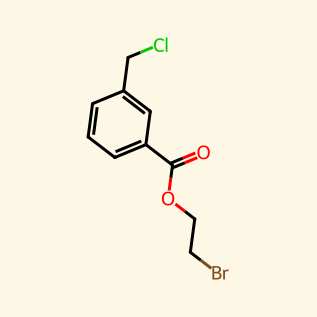 O=C(OCCBr)c1cccc(CCl)c1